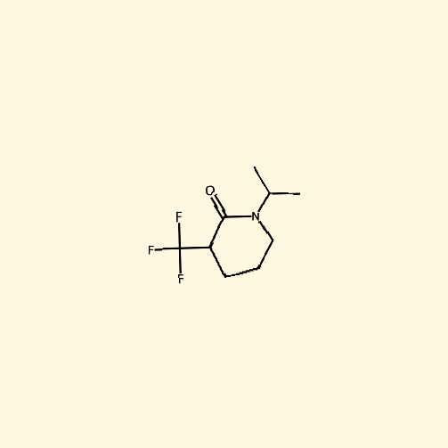 CC(C)N1CCCC(C(F)(F)F)C1=O